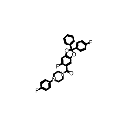 O=C(c1cc2c(cc1F)OC(c1ccccc1)(c1ccc(F)cc1)O2)N1CCN(c2ccc(F)cc2)CC1